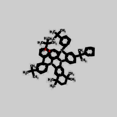 Cc1cc2c3c(c1)N(c1ccc(C(C)(C)C)cc1-c1ccc(C(C)(C)C)cc1)c1cc4c(cc1B3c1ccc(C(C)(C)c3ccccc3)cc1N2c1cccc(C(C)(C)C)c1)C(C)(C)CCC4(C)C